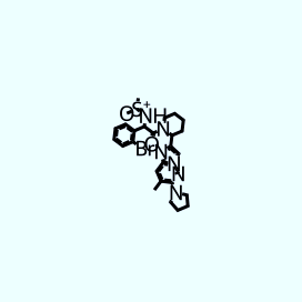 Cc1cc2nc(C3CCCCN3C(=O)C(N[S+](C)[O-])c3ccccc3Br)cn2nc1N1CCCC1